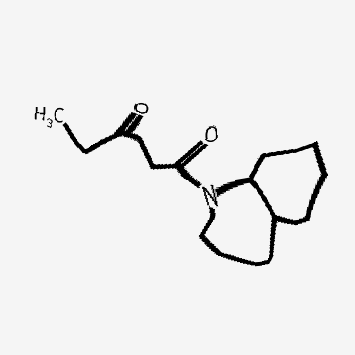 CCC(=O)CC(=O)N1CCCC2CCCCC21